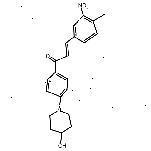 Cc1ccc(/C=C/C(=O)c2ccc(N3CCC(O)CC3)cc2)cc1[N+](=O)[O-]